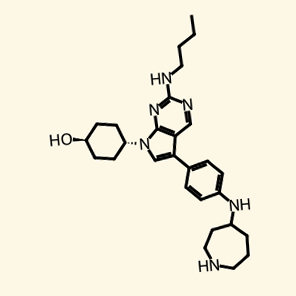 CCCCNc1ncc2c(-c3ccc(NC4CCCNCC4)cc3)cn([C@H]3CC[C@H](O)CC3)c2n1